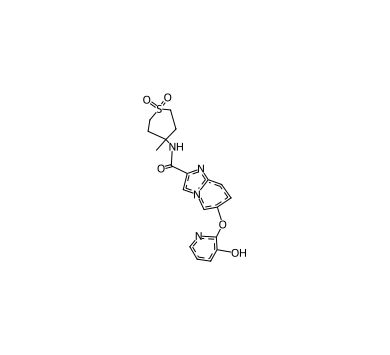 CC1(NC(=O)c2cn3cc(Oc4ncccc4O)ccc3n2)CCS(=O)(=O)CC1